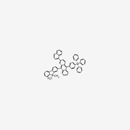 CC1(C)c2ccccc2-c2ccc(-c3c4ccccc4c(-c4ccc([Si](c5ccccc5)(c5ccccc5)c5ccccc5)cc4)c4ccc(-c5cccc6ccccc56)cc34)cc21